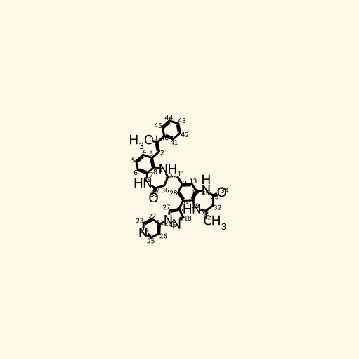 C/C(=C\c1cccc2c1N[C@H](Cc1cc3c(c(-c4cnn(-c5ccncc5)c4)c1)N[C@H](C)CC(=O)N3)CC(=O)N2)c1ccccc1